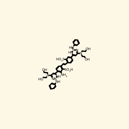 Nc1c(C2=CC(N(CCO)CCO)=NN(Nc3ccccc3)N2)ccc(C=Cc2ccc(C3=CC(N(CCO)CCO)=NN(Nc4ccccc4)N3)cc2S(=O)(=O)O)c1S(=O)(=O)O